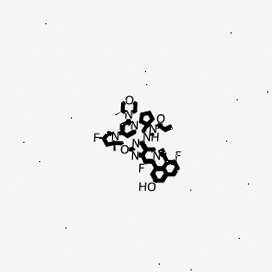 C#Cc1c(F)ccc2cc(O)cc(-c3ncc4c(NCC5(N(C)C(=O)C=C)CCCC5)nc(OC[C@]5(C)C[C@@H](F)CN5c5ccnc(N6CCOC[C@H]6C)c5)nc4c3F)c12